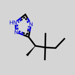 CCC(C)(C)[C@@H](C)c1nc[nH]n1